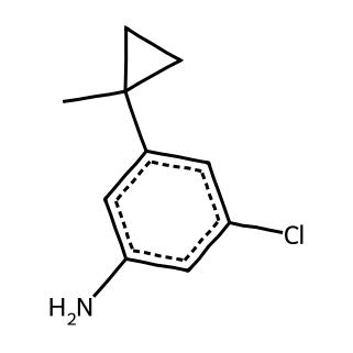 CC1(c2cc(N)cc(Cl)c2)CC1